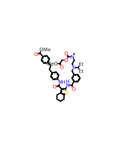 CCC(CC)N(CCN(C)C(=O)OCC(=O)OC)Cc1cccc(C(=O)Nc2sc3c(c2C(=O)Nc2ccc(CCc4ccc(C(=O)OC)cc4)cc2)CCCC3)c1